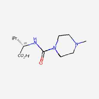 CC(C)[C@H](NC(=O)N1CCN(C)CC1)C(=O)O